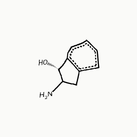 NC1Cc2ccccc2[C@H]1O